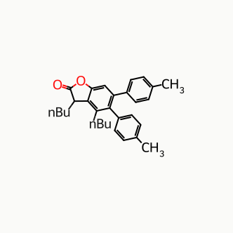 CCCCc1c(-c2ccc(C)cc2)c(-c2ccc(C)cc2)cc2c1C(CCCC)C(=O)O2